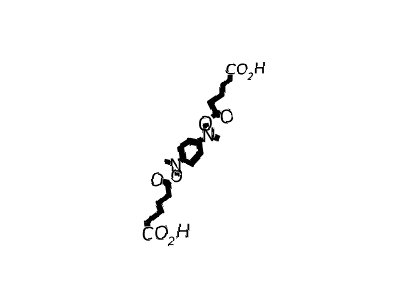 CN(OC(=O)CCCCC(=O)O)c1ccc(N(C)OC(=O)CCCCC(=O)O)cc1